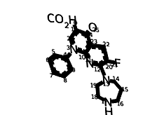 O=C(O)c1cn(-c2ccccc2)c2nc(N3CCCNCC3)c(F)cc2c1=O